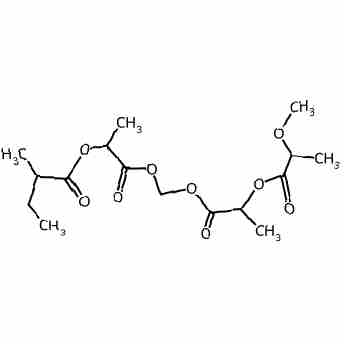 CCC(C)C(=O)OC(C)C(=O)OCOC(=O)C(C)OC(=O)C(C)OC